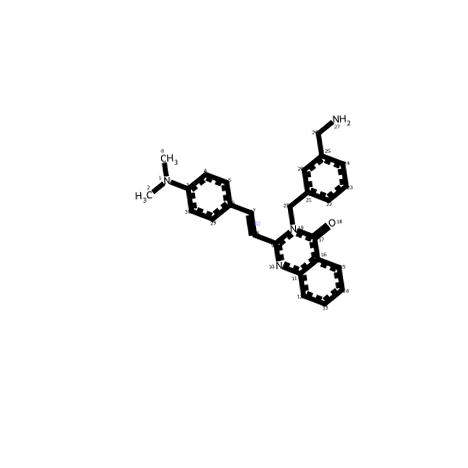 CN(C)c1ccc(/C=C/c2nc3ccccc3c(=O)n2Cc2cccc(CN)c2)cc1